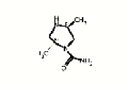 C[C@@H]1CN[C@@H](C)CN1C(N)=O